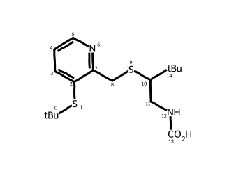 CC(C)(C)Sc1cccnc1CSC(CNC(=O)O)C(C)(C)C